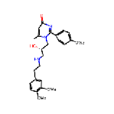 COc1ccc(-c2nc(=O)cc(C)n2C[C@@H](O)CNCCc2ccc(OC)c(OC)c2)cc1